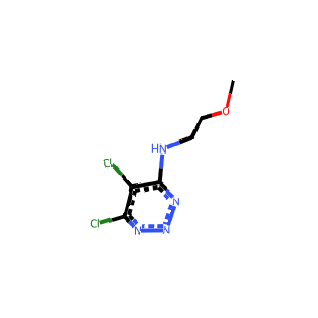 COCCNc1nnnc(Cl)c1Cl